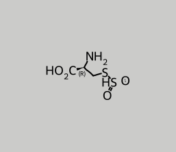 N[C@@H](CS[SH](=O)=O)C(=O)O